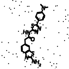 CN(C)c1ccc(-c2nnc(NC(=O)Cc3ccc4nc(N)sc4c3)s2)cc1